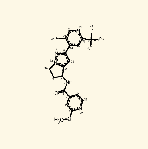 COc1cc(C(=O)N[C@H]2CCn3nc(-c4cc(C(F)(F)F)ncc4F)cc32)ccn1